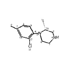 Cc1ccc(N2CCNC[C@H]2C)c(Cl)c1